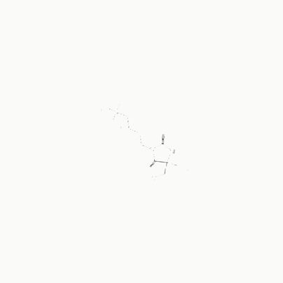 CC1(CN)NC(=O)N(COCC[Si](C)(C)C)C1=O